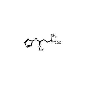 N[C@@H](CCC(=O)On1ccnc1)C(=O)[O-].[Na+]